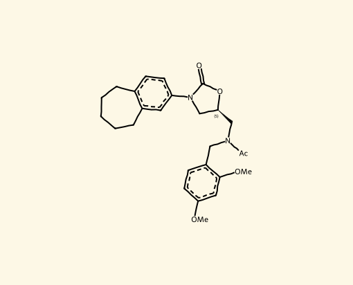 COc1ccc(CN(C[C@H]2CN(c3ccc4c(c3)CCCCC4)C(=O)O2)C(C)=O)c(OC)c1